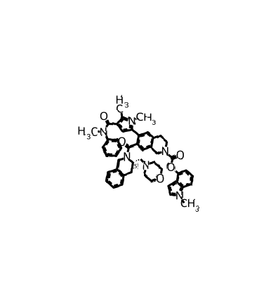 Cc1c(C(=O)N(C)c2ccccc2)cc(-c2cc3c(cc2C(=O)N2Cc4ccccc4C[C@H]2CN2CCOCC2)CN(C(=O)Oc2cccc4c2ccn4C)CC3)n1C